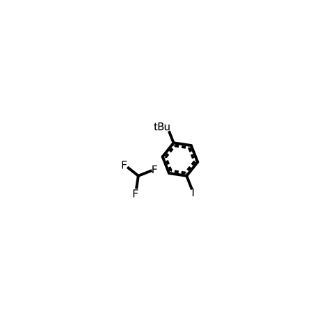 CC(C)(C)c1ccc(I)cc1.FC(F)F